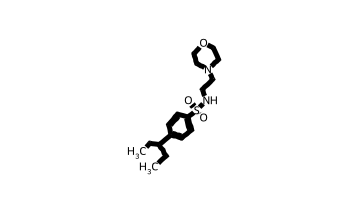 CCC(CC)c1ccc(S(=O)(=O)NCCN2CCOCC2)cc1